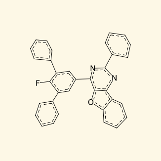 Fc1c(-c2ccccc2)cc(-c2nc(-c3ccccc3)nc3c2oc2ccccc23)cc1-c1ccccc1